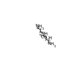 CC(=O)O.NCCCCNCCCN